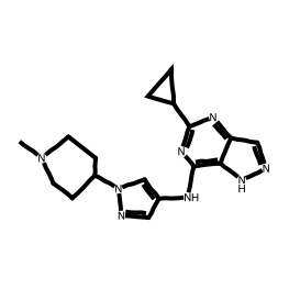 CN1CCC(n2cc(Nc3nc(C4CC4)nc4cn[nH]c34)cn2)CC1